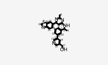 Cc1nc(NC(C)c2cccc(-c3cncc(CO)c3)c2)cc(-c2ccc3ncsc3c2)n1